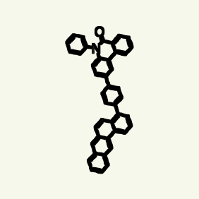 O=c1c2ccccc2c2cc(-c3ccc(-c4cccc5c4ccc4cc6ccccc6cc45)cc3)ccc2n1-c1ccccc1